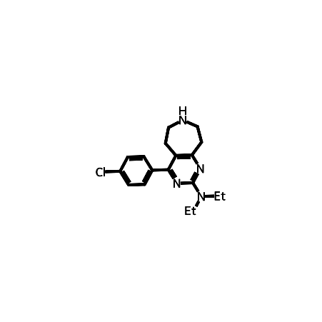 CCN(CC)c1nc2c(c(-c3ccc(Cl)cc3)n1)CCNCC2